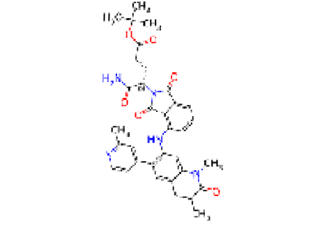 Cc1cc(-c2cc3c(cc2Nc2cccc4c2C(=O)N([C@@H](CCC(=O)OC(C)(C)C)C(N)=O)C4=O)N(C)C(=O)C(C)C3)ccn1